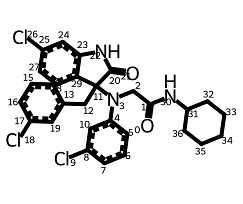 O=C(CN(c1cccc(Cl)c1)C1(Cc2cccc(Cl)c2)C(=O)Nc2cc(Cl)ccc21)NC1CCCCC1